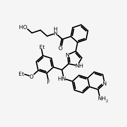 CCOc1cc(CC)cc(C(Nc2ccc3c(N)nccc3c2)c2nc(-c3ccccc3C(=O)NCCCO)c[nH]2)c1F